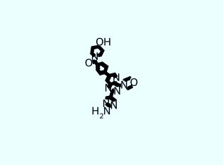 Nc1ncc(-c2nc(N3CCOCC3)c3ncc(-c4ccc(C(=O)N5CCC(O)CC5)cc4)cc3n2)cn1